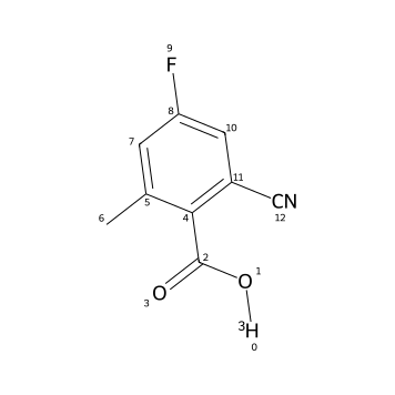 [3H]OC(=O)c1c(C)cc(F)cc1C#N